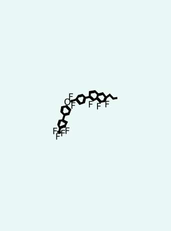 CCCc1cc2ccc(-c3ccc(C(F)(F)Oc4ccc(-c5ccc(C(F)(F)F)c(F)c5)cc4)cc3)c(F)c2c(F)c1F